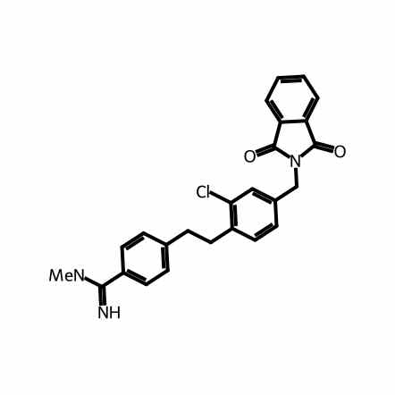 CNC(=N)c1ccc(CCc2ccc(CN3C(=O)c4ccccc4C3=O)cc2Cl)cc1